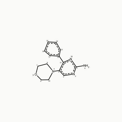 Nc1ncc(N2CCOCC2)c(-c2ccccc2)n1